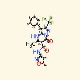 Cc1[nH]c2c(-c3ccccc3)c(C(F)(F)F)nn2c(=O)c1C(=O)Nc1ccon1